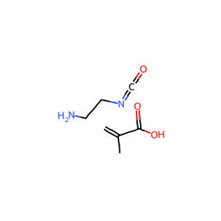 C=C(C)C(=O)O.NCCN=C=O